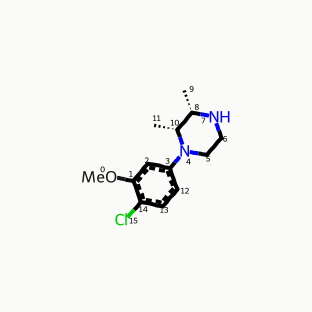 COc1cc(N2CCN[C@@H](C)[C@H]2C)ccc1Cl